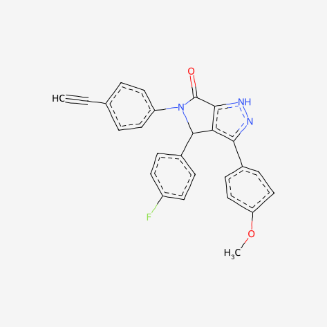 C#Cc1ccc(N2C(=O)c3[nH]nc(-c4ccc(OC)cc4)c3C2c2ccc(F)cc2)cc1